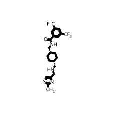 Cc1nc(CNC[C@H]2CC[C@H](CNC(=O)c3cc(C(F)(F)F)cc(C(F)(F)F)c3)CC2)cs1